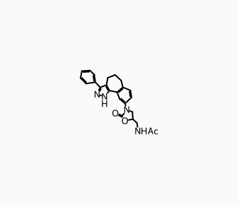 CC(=O)NCC1CN(c2ccc3c(c2)-c2[nH]nc(-c4ccccc4)c2CCC3)C(=O)O1